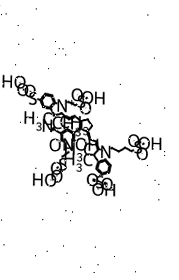 Cc1c(C2=C(C=CC3=[N+](CCS(=O)(=O)O)c4ccc(SOOO)cc4C3(C)C)CCC2=C/C=C2/N(CCCCS(=O)(=O)O)c3ccc(S(=O)(=O)O)cc3C2(C)C)c(O)n(CCSOOO)c(=O)c1C#N